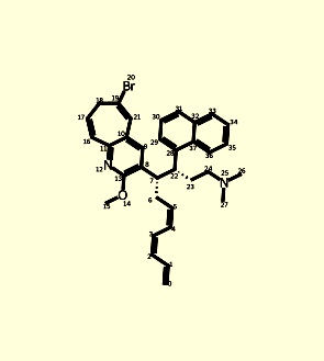 C=C/C=C\C=C/C[C@H](c1cc2c(nc1OC)C=CCC(Br)=C2)[C@@H](CCN(C)C)c1cccc2ccccc12